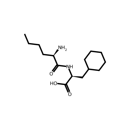 CCCC[C@@H](N)C(=O)N[C@@H](CC1CCCCC1)C(=O)O